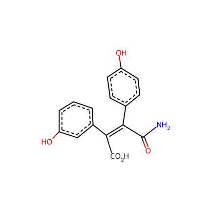 NC(=O)C(=C(C(=O)O)c1cccc(O)c1)c1ccc(O)cc1